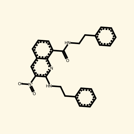 O=C(NCCc1ccccc1)c1cccc2cc([N+](=O)[O-])c(NCCc3ccccc3)nc12